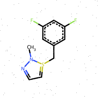 CN1N=CC=S1Cc1cc(F)cc(F)c1